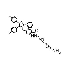 Cc1ccc(-c2nc(-c3ccccc3)n(Cc3ccc(C(=O)NCCOCCOCCN)cc3)c2-c2ccc(C)cc2)cc1